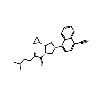 CN(C)CCNC(=O)[C@@H]1CN(c2ccc(C#N)c3ncccc23)C[C@H]1C1CC1